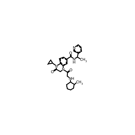 CC(NC(=O)c1ccc2c(c1)N(C(=O)CNC1CCCCC1C)CC(=O)N2C1CC1)c1cccnc1